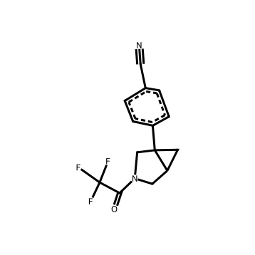 N#Cc1ccc(C23CC2CN(C(=O)C(F)(F)F)C3)cc1